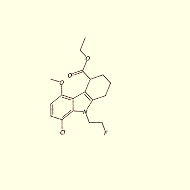 CCOC(=O)C1CCCc2c1c1c(OC)ccc(Cl)c1n2CCF